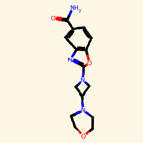 NC(=O)c1ccc2oc(N3CC(N4CCOCC4)C3)nc2c1